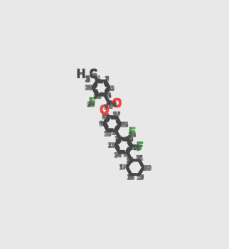 Cc1ccc(C(=O)Oc2ccc(-c3ccc(C4CCCCC4)c(F)c3F)cc2)c(F)c1